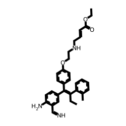 CCOC(=O)/C=C/CNCCOc1ccc(/C(=C(/CC)c2ccccc2C)c2ccc(N)c(C=N)c2)cc1